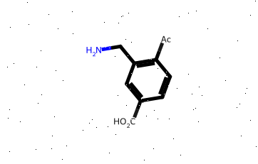 CC(=O)c1ccc(C(=O)O)cc1CN